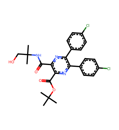 CC(C)(CO)NC(=O)c1nc(-c2ccc(Cl)cc2)c(-c2ccc(Cl)cc2)nc1C(=O)OC(C)(C)C